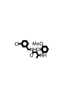 COc1cccc(NC(C)C(O)C(=O)NCc2cccc(Cl)c2)c1